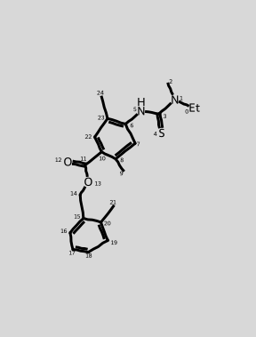 CCN(C)C(=S)Nc1cc(C)c(C(=O)OCc2ccccc2C)cc1C